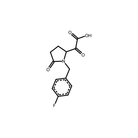 O=C(O)C(=O)C1CCC(=O)N1Cc1ccc(F)cc1